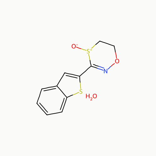 O.[O-][S+]1CCON=C1c1cc2ccccc2s1